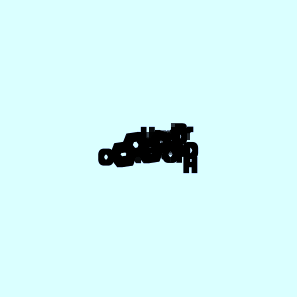 CC(C)[C@H]1C[C@H]2[C@@H]3CCC4=CC(=O)C=C[C@]4(C)C3=CC[C@]2(C)[C@@]1(O)C(=O)CO